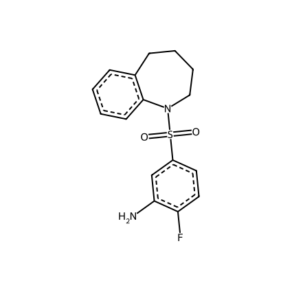 Nc1cc(S(=O)(=O)N2CCCCc3ccccc32)ccc1F